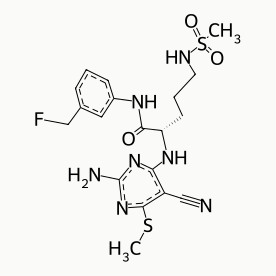 CSc1nc(N)nc(N[C@@H](CCCNS(C)(=O)=O)C(=O)Nc2cccc(CF)c2)c1C#N